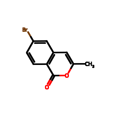 Cc1cc2cc(Br)ccc2c(=O)o1